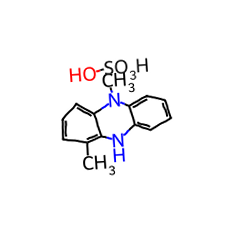 Cc1cccc2c1Nc1ccccc1N2C.O=S(=O)(O)O